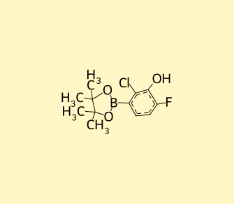 CC1(C)OB(c2ccc(F)c(O)c2Cl)OC1(C)C